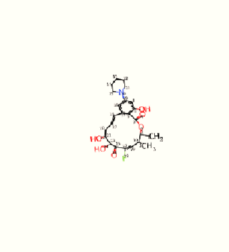 C[C@@H]1OC(=O)c2c(O)cc(N3CCCCC3)cc2/C=C/C[C@H](O)[C@H](O)C(=O)/C(F)=C\[C@@H]1C